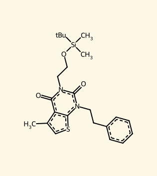 Cc1csc2c1c(=O)n(CCO[Si](C)(C)C(C)(C)C)c(=O)n2CCc1ccccc1